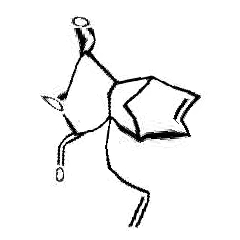 C=CCC12C(=O)OC(=O)C1C1C=CC2C1